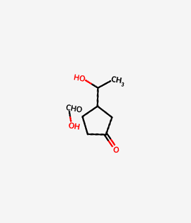 CC(O)C1CCC(=O)C1.O=CO